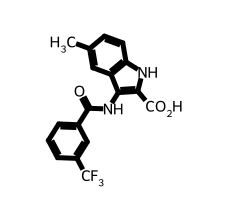 Cc1ccc2[nH]c(C(=O)O)c(NC(=O)c3cccc(C(F)(F)F)c3)c2c1